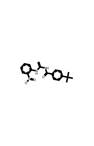 C=C(NC(=O)c1ccc(C(C)(C)C)cc1)Nc1ccccc1[N+](=O)[O-]